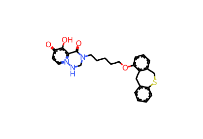 O=C1c2c(O)c(=O)ccn2NCN1CCCCCOc1cccc2c1Cc1ccccc1SC2